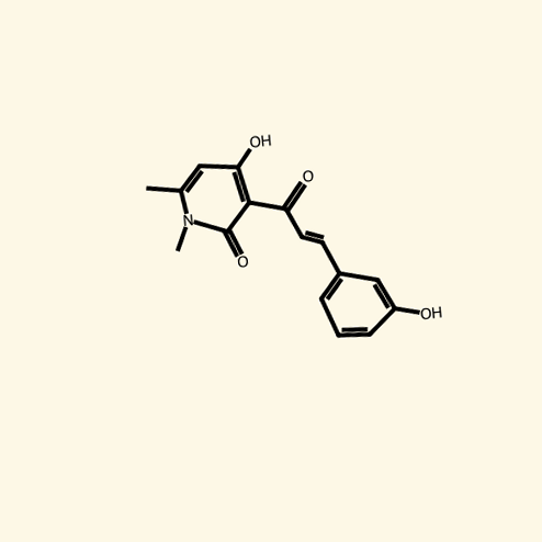 Cc1cc(O)c(C(=O)/C=C/c2cccc(O)c2)c(=O)n1C